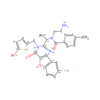 Cc1ccc(C(=O)N(CCN)C(c2nc3c(oc4ccc(F)cc43)c(=O)n2Cc2ccc(Br)s2)C(C)C)cc1